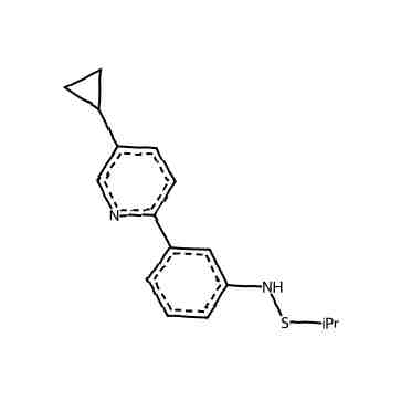 CC(C)SNc1cccc(-c2ccc(C3CC3)cn2)c1